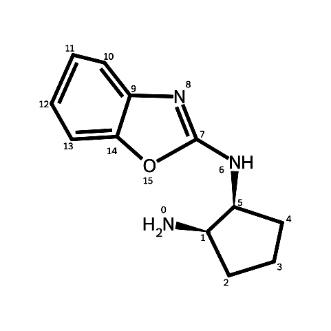 N[C@@H]1CCC[C@@H]1Nc1nc2ccccc2o1